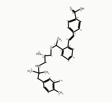 Cc1ccc(CC(C)(C)NC[C@H](O)COC(C)c2ccccc2C=Cc2ccc(C(=O)O)cc2)cc1F